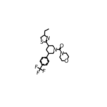 CCC1CSC(C2CC(c3ccc(C(F)(F)F)cc3)CN(C(=O)N3CCOCC3)C2)=N1